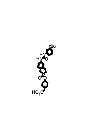 CC(C)(C)c1cccc(NC(=O)Nc2ccc3c(c2)CCN(C(=O)OC2CCC(CC(=O)O)CC2)C3)c1